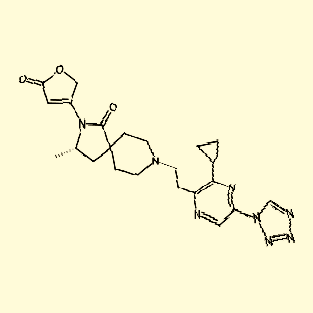 C[C@H]1CC2(CCN(CCc3ncc(-n4cnnn4)nc3C3CC3)CC2)C(=O)N1C1=CC(=O)OC1